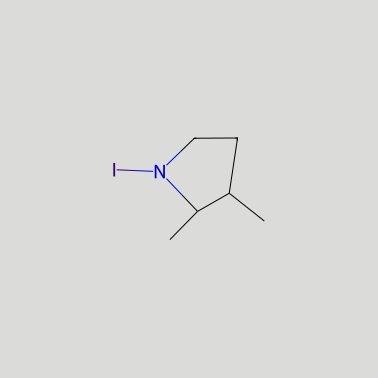 CC1CCN(I)C1C